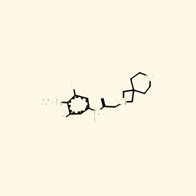 CNc1c(F)cc(NC(=O)CN2CC3(CCOCC3)C2)cc1F